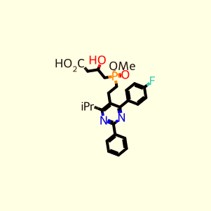 COP(=O)(CCc1c(-c2ccc(F)cc2)nc(-c2ccccc2)nc1C(C)C)CC(O)CC(=O)O